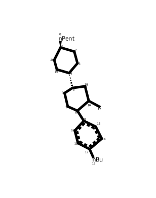 CCCCC[C@H]1CC[C@H](C2CCC(c3ccc(CCCC)cc3)C(C)C2)CC1